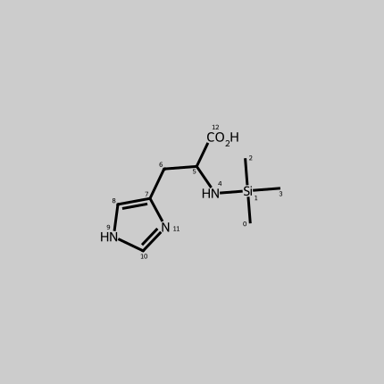 C[Si](C)(C)NC(Cc1c[nH]cn1)C(=O)O